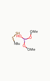 CCCCSS.COOP(O)OOC